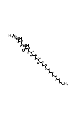 CCCCCCCCCCCCCCCCCCCCCC(=O)NCCCNCC